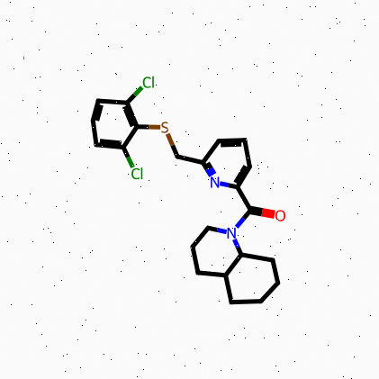 O=C(c1cccc(CSc2c(Cl)cccc2Cl)n1)N1CCCC2CCCCC21